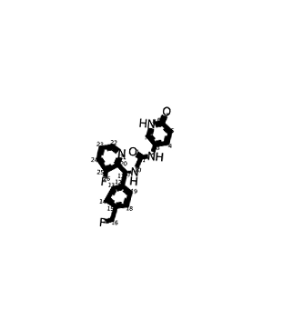 O=C(Nc1ccc(=O)[nH]c1)N[C@@H](c1ccc(CF)cc1)c1ncccc1F